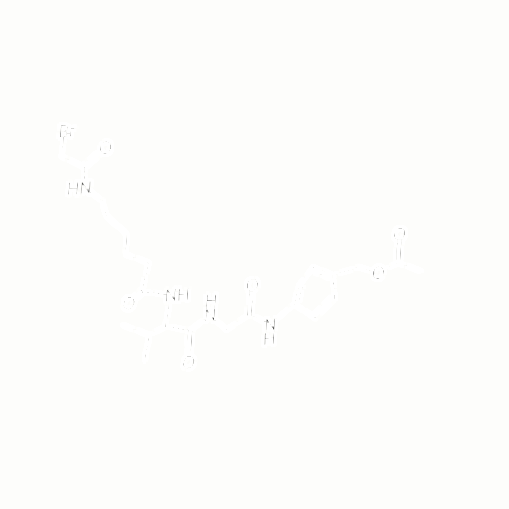 CC(=O)OCc1ccc(NC(=O)CNC(=O)C(NC(=O)CCCCCNC(=O)CBr)C(C)C)cc1